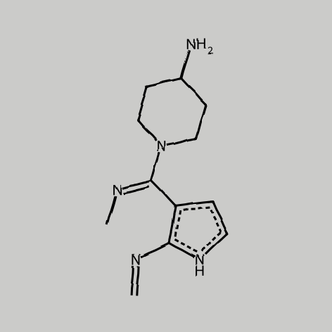 C=Nc1[nH]ccc1/C(=N\C)N1CCC(N)CC1